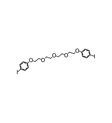 Ic1ccc(OCCOCCOCCOCCOc2ccc(I)cc2)cc1